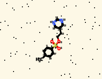 Cc1ccc(S(=O)(=O)OCCc2cncnc2)cc1